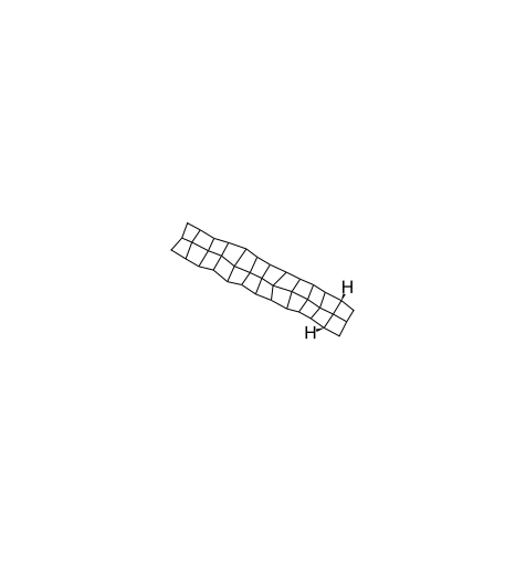 C1C2CC3C4C5C6C7C8C9C%10C%11C%12[C@@H]%13CC%14C[C@@H]%15C%16C%17C%18C%19C%20C%21C%22C%23C%24C1C23C%244C%235C%226C%217C%208C%199C%18%10C%17%11C%16%12C%14%15%13